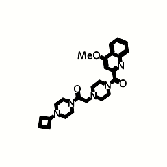 COc1cc(C(=O)N2CCN(CC(=O)N3CCN(C4CCC4)CC3)CC2)nc2ccccc12